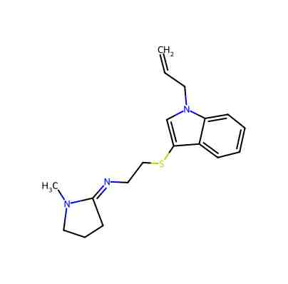 C=CCn1cc(SCCN=C2CCCN2C)c2ccccc21